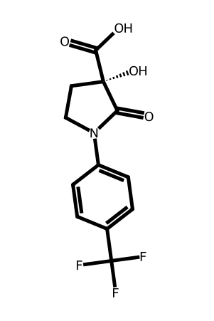 O=C(O)[C@]1(O)CCN(c2ccc(C(F)(F)F)cc2)C1=O